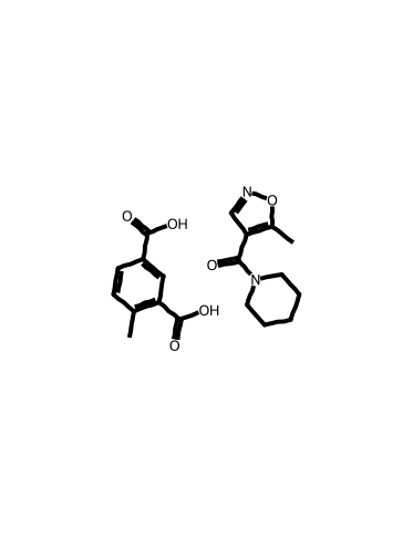 Cc1ccc(C(=O)O)cc1C(=O)O.Cc1oncc1C(=O)N1CCCCC1